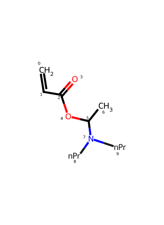 C=CC(=O)OC(C)N(CCC)CCC